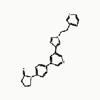 O=C1CCCN1c1ccc(-c2cncc(-c3ccn(CCc4cccnc4)c3)c2)cc1